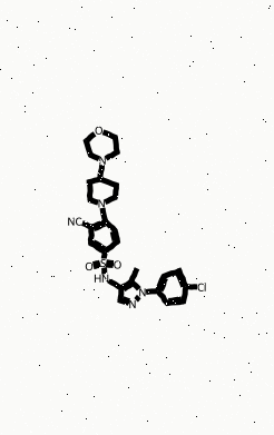 Cc1c(NS(=O)(=O)c2ccc(N3CCC(N4CCOCC4)CC3)c(C#N)c2)cnn1-c1ccc(Cl)cc1